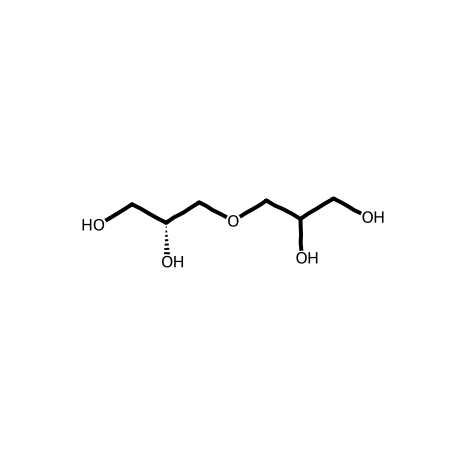 OCC(O)COC[C@H](O)CO